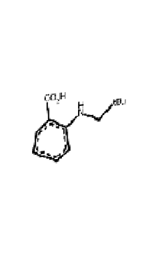 CC(C)(C)CNc1ccccc1C(=O)O